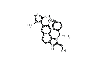 COc1cc2c(cc1-c1c(C)noc1C)ncc1[nH]c(=NC#N)n([C@@H](C)c3ccccc3)c12